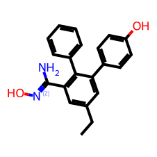 CCc1cc(/C(N)=N/O)c(-c2ccccc2)c(-c2ccc(O)cc2)c1